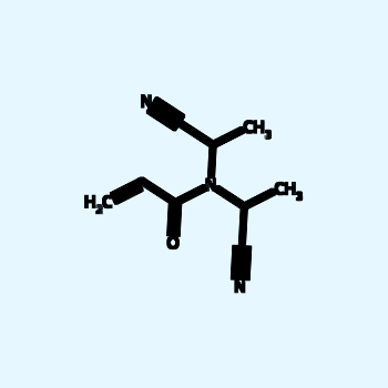 C=CC(=O)N(C(C)C#N)C(C)C#N